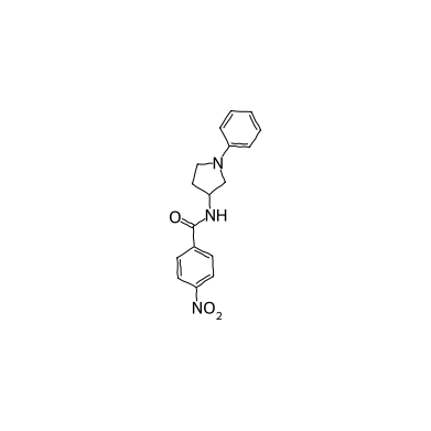 O=C(NC1CCN(c2ccccc2)C1)c1ccc([N+](=O)[O-])cc1